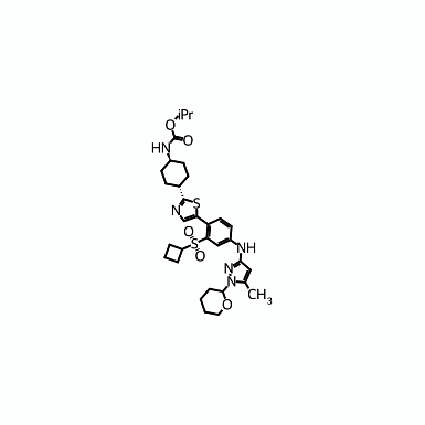 Cc1cc(Nc2ccc(-c3cnc([C@H]4CC[C@H](NC(=O)OC(C)C)CC4)s3)c(S(=O)(=O)C3CCC3)c2)nn1C1CCCCO1